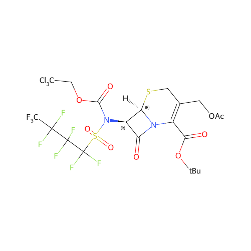 CC(=O)OCC1=C(C(=O)OC(C)(C)C)N2C(=O)[C@@H](N(C(=O)OCC(Cl)(Cl)Cl)S(=O)(=O)C(F)(F)C(F)(F)C(F)(F)C(F)(F)F)[C@H]2SC1